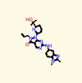 C=CCn1c(=O)c2cnc(Nc3ccc4c(c3)nc(C)n4C)nc2n1-c1cccc(C(C)(C)O)n1